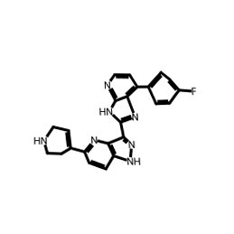 Fc1ccc(-c2ccnc3[nH]c(-c4n[nH]c5ccc(C6=CCNCC6)nc45)nc23)cc1